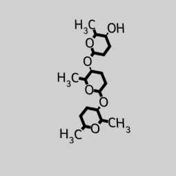 CC1CC[C@@H](OC2CC[C@@H](OC3CC[C@@H](O)C(C)O3)C(C)O2)C(C)O1